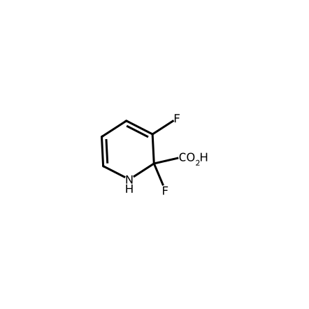 O=C(O)C1(F)NC=CC=C1F